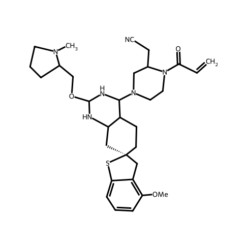 C=CC(=O)N1CCN(C2NC(OCC3CCCN3C)NC3C[C@]4(CCC32)Cc2c(OC)cccc2S4)CC1CC#N